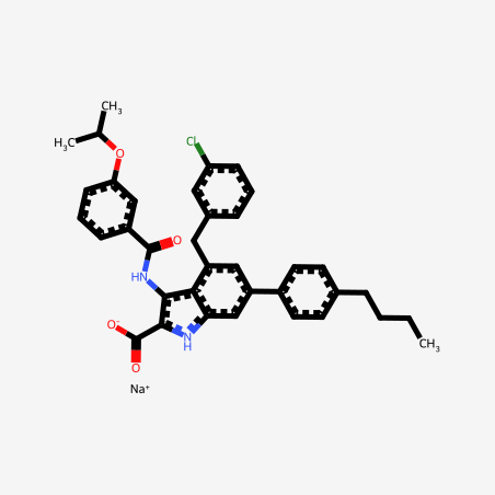 CCCCc1ccc(-c2cc(Cc3cccc(Cl)c3)c3c(NC(=O)c4cccc(OC(C)C)c4)c(C(=O)[O-])[nH]c3c2)cc1.[Na+]